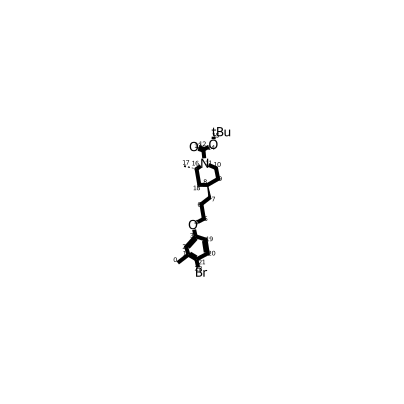 Cc1cc(OCCC[C@@H]2CCN(C(=O)OC(C)(C)C)[C@@H](C)C2)ccc1Br